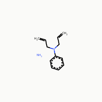 C=CCN(CC=C)c1ccccc1.N